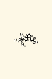 CC(C)(C)N1CCC2(CCCN2CC(=O)O)C1